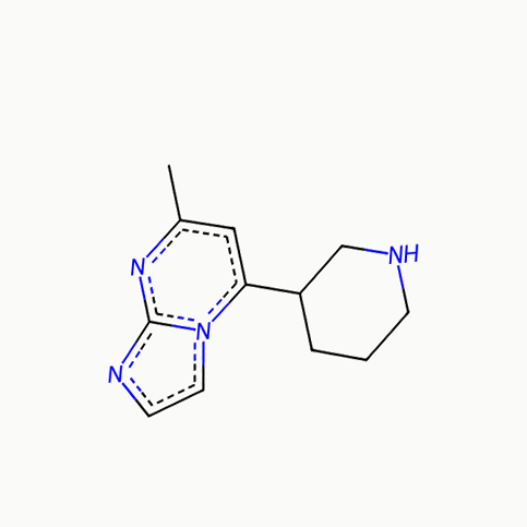 Cc1cc(C2CCCNC2)n2ccnc2n1